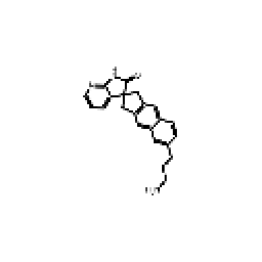 NCCCc1ccc2cc3c(cc2c1)CC1(C3)C(=O)Nc2ncccc21